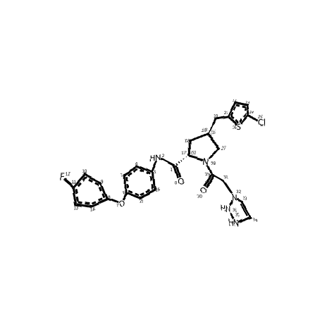 O=C(Nc1ccc(Oc2ccc(F)cc2)cc1)[C@@H]1C[C@@H](Cc2ccc(Cl)s2)CN1C(=O)CN1C=CNN1